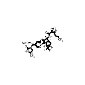 COC[C@H](c1cnn2cc([C@](C)(NC(=O)c3nonc3CCC(F)(F)F)[C@@]3(C)C[C@@H]4[C@H](C3)C4(F)F)nc2c1)N1C[C@@H](C(F)(F)F)NC1=O